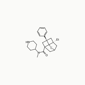 CC[C@@]12CC3CC4(C(=O)N(C)C5CCNCC5)C[C@](c5ccccc5)(C1)C42C3